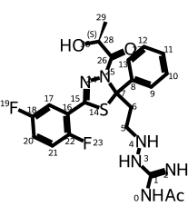 CC(=O)NC(=N)NNCCC1(c2ccccc2)SC(c2cc(F)ccc2F)=NN1C(=O)[C@H](C)O